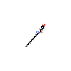 CCCCCCCCCCCCCCCCCCNC(=O)/C(C)=C/c1ccc(O)cc1